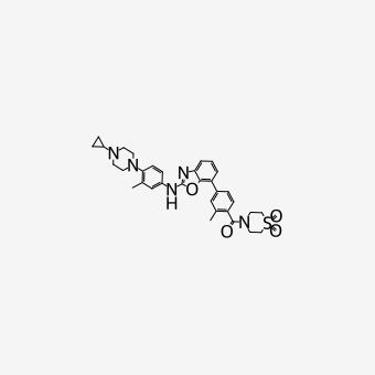 Cc1cc(-c2cccc3nc(Nc4ccc(N5CCN(C6CC6)CC5)c(C)c4)oc23)ccc1C(=O)N1CCS(=O)(=O)CC1